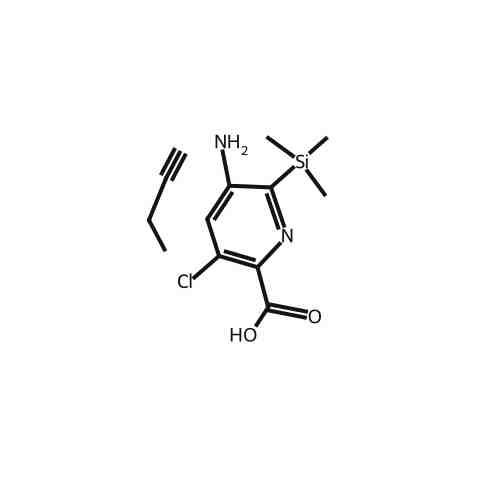 C#CCC.C[Si](C)(C)c1nc(C(=O)O)c(Cl)cc1N